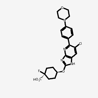 O=C(O)[C@]1(F)CC[C@@H](Oc2nc3nc(-c4ccc(N5CCOCC5)cc4)c(Cl)cc3[nH]2)CC1